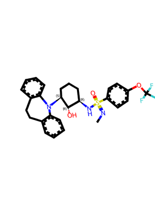 CN=S(=O)(N[C@@H]1CCC[C@H](N2c3ccccc3CCc3ccccc32)[C@H]1O)c1ccc(OC(F)(F)F)cc1